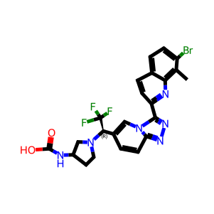 Cc1c(Br)ccc2ccc(-c3nnc4ccc([C@@H](N5CCC(NC(=O)O)C5)C(F)(F)F)cn34)nc12